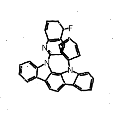 FC1CC=Cc2nc(-n3c4ccccc4c4ccc5c6ccccc6n(-c6ccccc6)c5c43)ccc21